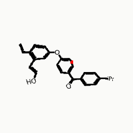 C=Cc1ccc(OC(/C=C\C(=C/C)C(=O)c2ccc(C(C)C)cc2)=C/C)cc1/C=C/O